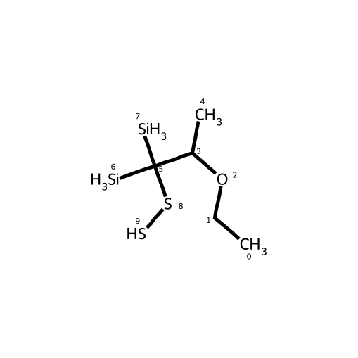 CCOC(C)C([SiH3])([SiH3])SS